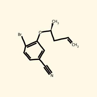 C=CC[C@H](C)Oc1cc(C#N)ccc1Br